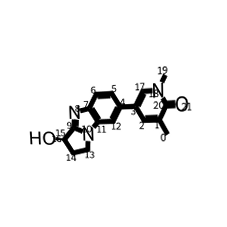 Cc1cc(-c2ccc3nc4n(c3c2)CC[C@H]4O)cn(C)c1=O